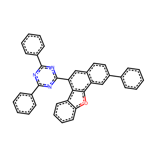 c1ccc(-c2ccc3cc(-c4nc(-c5ccccc5)nc(-c5ccccc5)n4)c4c5ccccc5oc4c3c2)cc1